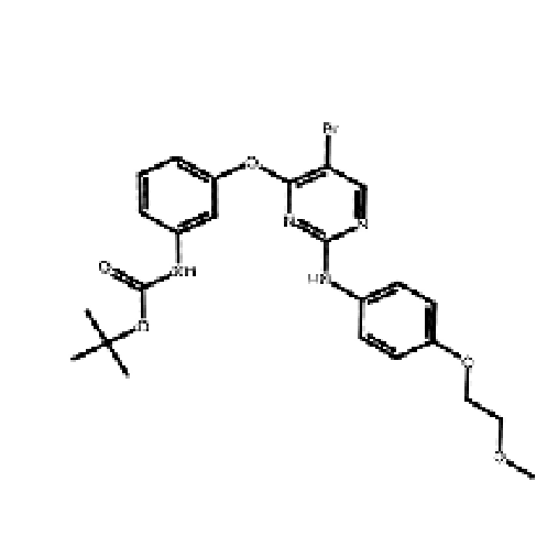 COCCOc1ccc(Nc2ncc(Br)c(Oc3cccc(NC(=O)OC(C)(C)C)c3)n2)cc1